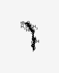 Cc1nn(C(=O)OC(C)(C)C)c(C)c1CC(=O)Nc1nnc(CCCCc2ccc(NC(=O)Cc3cccc(OCF)c3)nn2)s1